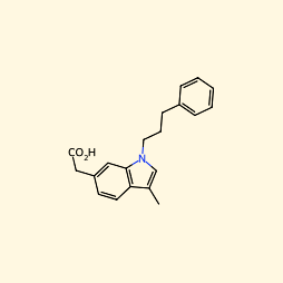 Cc1cn(CCCc2ccccc2)c2cc(CC(=O)O)ccc12